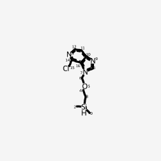 C[SiH](C)CCOCn1cnc2ccnc(Cl)c21